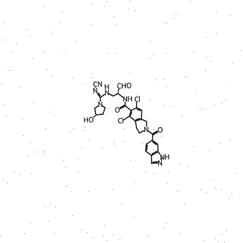 N#C/N=C(\NC[C@@H](C=O)NC(=O)c1c(Cl)cc2c(c1Cl)CCN(C(=O)c1ccc3cn[nH]c3c1)C2)N1CC[C@@H](O)C1